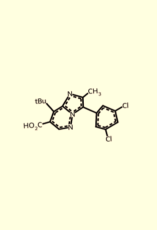 Cc1nc2c(C(C)(C)C)c(C(=O)O)cnn2c1-c1cc(Cl)cc(Cl)c1